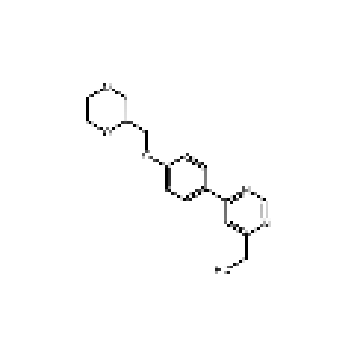 OCc1cc(-c2ccc(OCC3COCCO3)cc2)ncn1